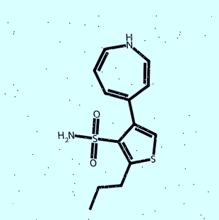 CCCc1scc(C2=CC=CNC=C2)c1S(N)(=O)=O